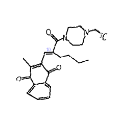 CCCC/C(=C\C1=C(C)C(=O)c2ccccc2C1=O)C(=O)N1CCN(C[3CH3])CC1